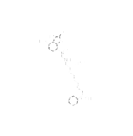 C[C@@H](CNCCCSCCNC[C@H](O)c1ccc(O)c2[nH]c(=O)sc12)c1ccccc1.Cl.Cl